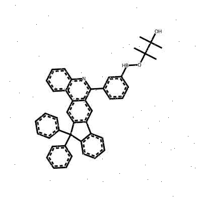 CC(C)(O)C(C)(C)OBc1cccc(-c2nc3ccccc3c3cc4c(cc23)-c2ccccc2C4(c2ccccc2)c2ccccc2)c1